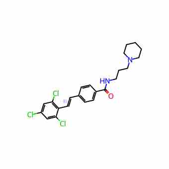 O=C(NCCCN1CCCCC1)c1ccc(/C=C/c2c(Cl)cc(Cl)cc2Cl)cc1